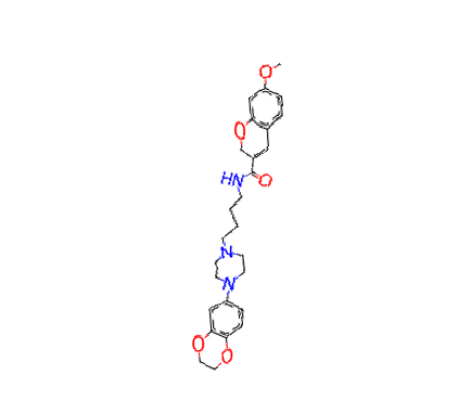 COc1ccc2c(c1)OCC(C(=O)NCCCCN1CCN(c3ccc4c(c3)OCCO4)CC1)=C2